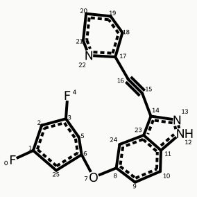 Fc1cc(F)cc(Oc2ccc3[nH]nc(C#Cc4ccccn4)c3c2)c1